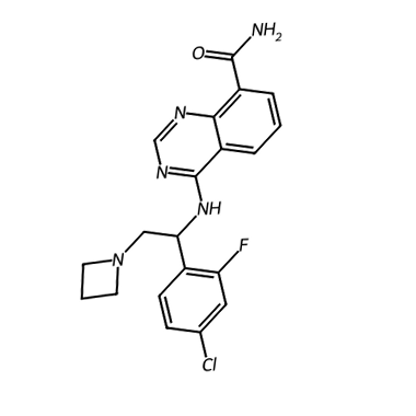 NC(=O)c1cccc2c(NC(CN3CCC3)c3ccc(Cl)cc3F)ncnc12